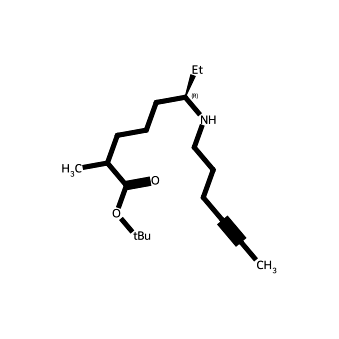 CC#CCCCN[C@H](CC)CCCC(C)C(=O)OC(C)(C)C